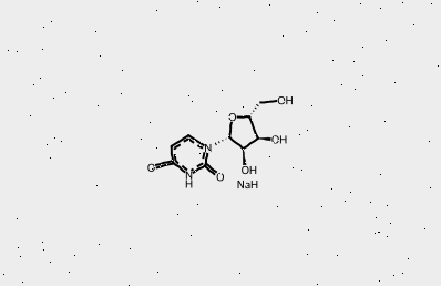 O=c1ccn([C@@H]2O[C@H](CO)[C@@H](O)[C@H]2O)c(=O)[nH]1.[NaH]